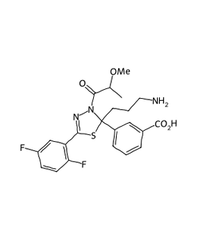 COC(C)C(=O)N1N=C(c2cc(F)ccc2F)SC1(CCCN)c1cccc(C(=O)O)c1